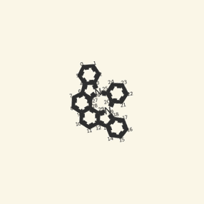 c1ccc2c(c1)c1ccc3ccc4c5ccccc5n5c6ccccc6n2c1c3c45